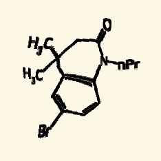 CCCN1C(=O)CC(C)(C)c2cc(Br)ccc21